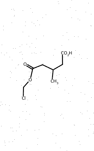 CC(CC(=O)O)CC(=O)OCCl